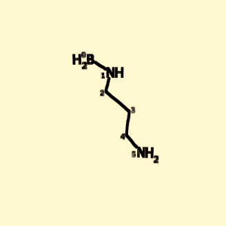 BNCCCN